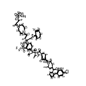 O=C(NS(=O)(=O)c1ccc(N[C@H](CCN2CCN(CCOP(=O)(O)O)CC2)CSc2ccccc2)c(S(=O)(=O)C(F)(F)F)c1)c1ccc(N2CCC(C(O)c3ccccc3-c3ccc(Cl)cc3)CC2)cc1